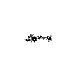 CCc1nc2ccc(OCCN=COOC(C)(C)C)cc2[n+]([O-])n1